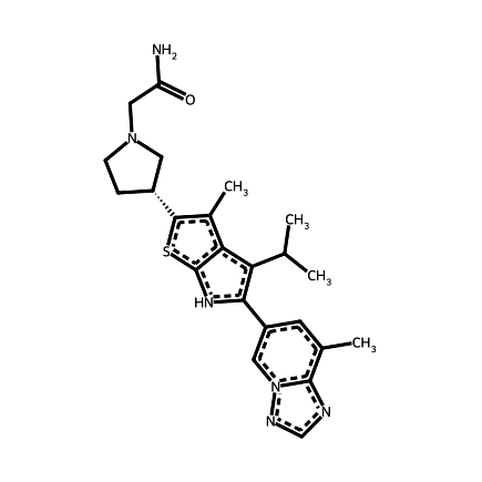 Cc1c([C@@H]2CCN(CC(N)=O)C2)sc2[nH]c(-c3cc(C)c4ncnn4c3)c(C(C)C)c12